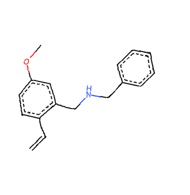 C=Cc1ccc(OC)cc1CNCc1ccccc1